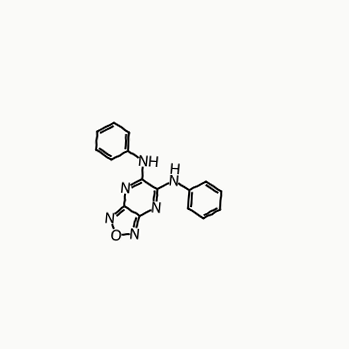 c1ccc(Nc2nc3nonc3nc2Nc2ccccc2)cc1